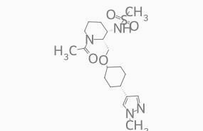 CC(=O)N1CCC[C@H](NS(C)(=O)=O)[C@@H]1CO[C@H]1CC[C@@H](c2cnn(C)c2)CC1